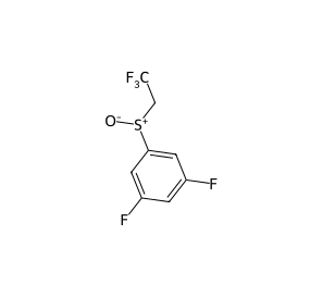 [O-][S+](CC(F)(F)F)c1cc(F)cc(F)c1